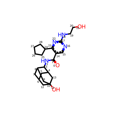 O=C(NC1C2CC3CC1CC(O)(C3)C2)c1cnc(NCCO)nc1C1CCCC1